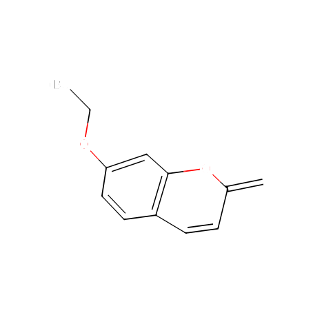 C=C1C=Cc2ccc(OCC(C)(C)C)cc2O1